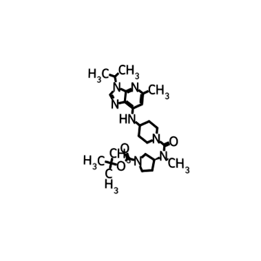 Cc1cc(NC2CCN(C(=O)N(C)[C@H]3CCN(C(=O)OC(C)(C)C)C3)CC2)c2ncn(C(C)C)c2n1